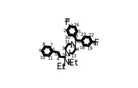 CCN(CC)C(C=Cc1ccccc1)N1CCN(C(c2ccc(F)cc2)c2ccc(F)cc2)CC1